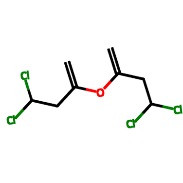 C=C(CC(Cl)Cl)OC(=C)CC(Cl)Cl